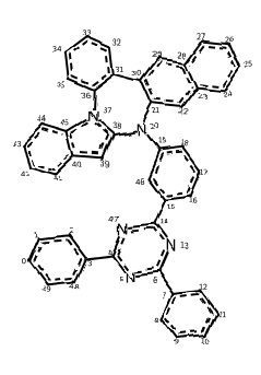 c1ccc(-c2nc(-c3ccccc3)nc(-c3cccc(N4c5cc6ccccc6cc5-c5ccccc5-n5c4cc4ccccc45)c3)n2)cc1